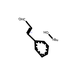 CCCCO.O=C/C=C/c1ccccc1